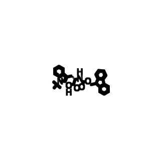 CC(C)(C)n1cc(C[C@H](NC(=O)OCC2c3ccccc3-c3ccccc32)C(=O)O)c2ccccc21